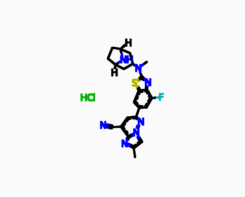 Cc1cn2nc(-c3cc(F)c4nc(N(C)[C@@H]5C[C@H]6CC[C@@H](C5)N6)sc4c3)cc(C#N)c2n1.Cl